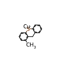 Cc1cccc2c1Cc1ccccc1S2.[Cu]